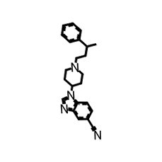 CC(CCN1CCC(n2cnc3cc(C#N)ccc32)CC1)c1ccccc1